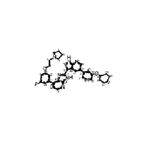 Fc1cc(OCCN2CCCC2)cc(-c2ccnc3[nH]c(-c4n[nH]c5ncc(-c6cncc(OC7CCCCC7)c6)cc45)nc23)c1